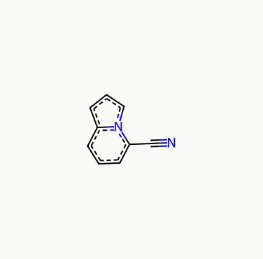 N#Cc1cccc2cccn12